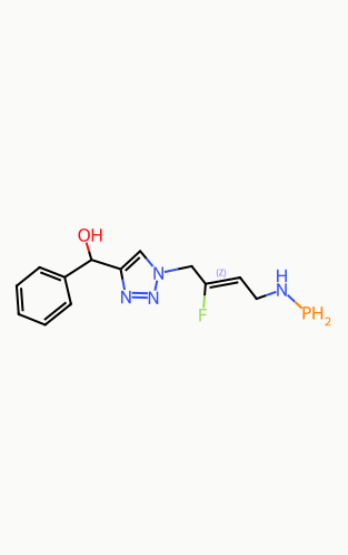 OC(c1ccccc1)c1cn(C/C(F)=C/CNP)nn1